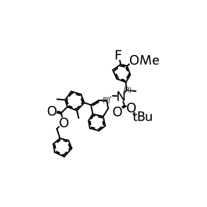 COc1cc([C@@H](C)N(C[C@H]2C=C(c3ccc(C)c(C(=O)OCc4ccccc4)c3C)c3ccccc3C2)C(=O)OC(C)(C)C)ccc1F